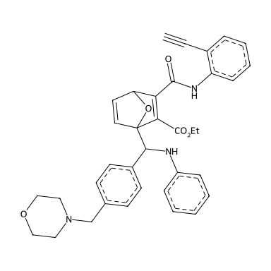 C#Cc1ccccc1NC(=O)C1=C(C(=O)OCC)C2(C(Nc3ccccc3)c3ccc(CN4CCOCC4)cc3)C=CC1O2